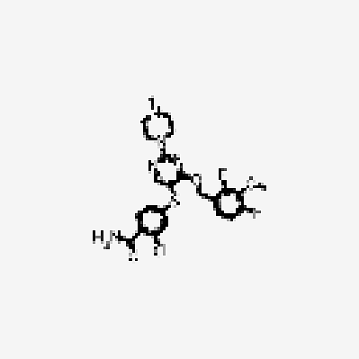 COc1c(F)ccc(COc2nc(N3CCN(C)CC3)ncc2Sc2ccc(C(N)=O)c(Cl)c2)c1F